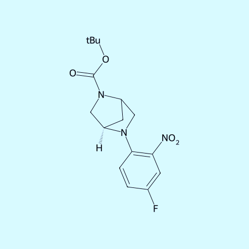 CC(C)(C)OC(=O)N1C[C@H]2CC1CN2c1ccc(F)cc1[N+](=O)[O-]